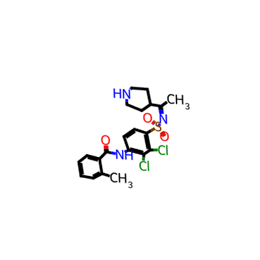 C/C(=N/S(=O)(=O)c1ccc(NC(=O)c2ccccc2C)c(Cl)c1Cl)C1CCNCC1